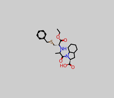 CCOC(=O)[C@@H](CSCc1ccccc1)NC(C)C(=O)N1C2CCCCC2C[C@H]1C(=O)O